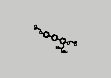 CCCCC(CC)Cc1cc(C2=CC=C(c3ccc(OCC4CO4)cc3)CC2)ccc1OCC1CO1